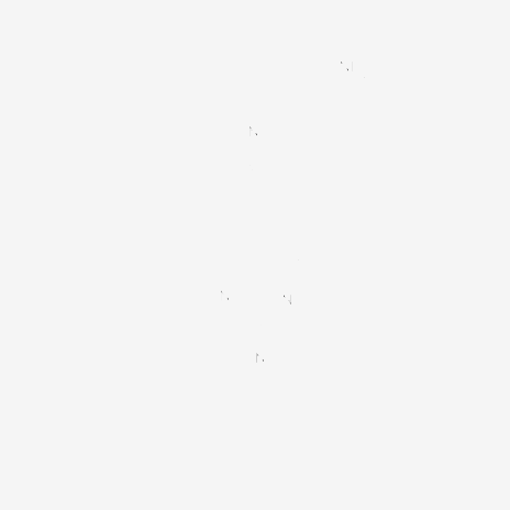 CN(CCN)C(=O)c1ccc2c([S+](C)[O-])cn(-c3ncc(-c4ccccc4F)cn3)c2c1